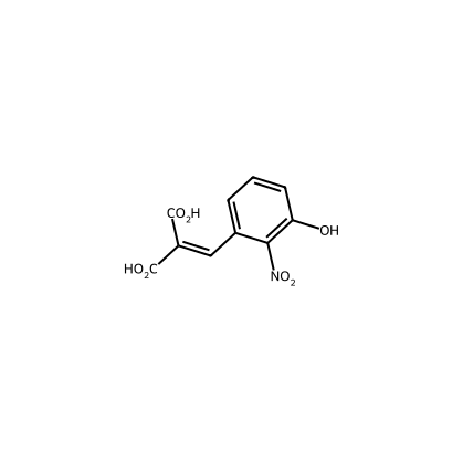 O=C(O)C(=Cc1cccc(O)c1[N+](=O)[O-])C(=O)O